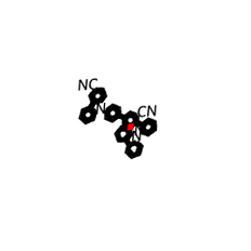 N#Cc1ccc2c(c1)c1ccccc1n2-c1ccc(-c2cc(C#N)c(-c3ccccc3N3C4=C(CCC=C4)C4C=CC=CC43)c(C#N)c2)cc1